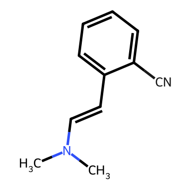 CN(C)C=Cc1ccccc1C#N